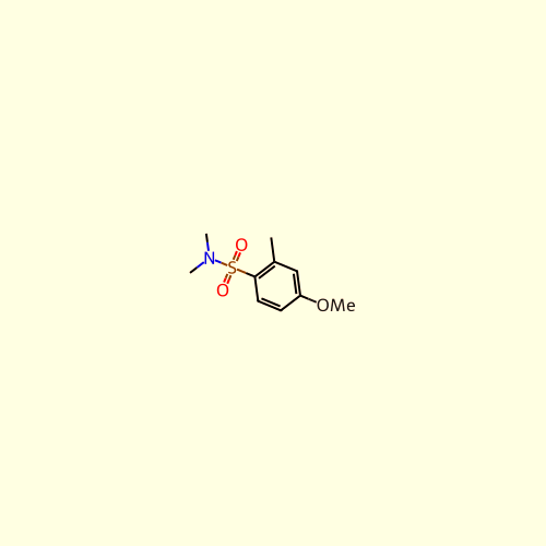 COc1ccc(S(=O)(=O)N(C)C)c(C)c1